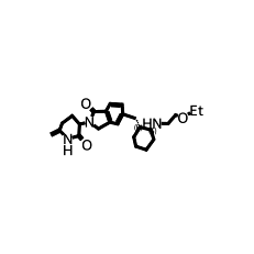 C=C1CCC(N2Cc3cc(C[C@H]4CCCC[C@@H]4NCCOCC)ccc3C2=O)C(=O)N1